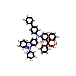 c1ccc(-c2ccc(N(c3ccc4c(c3)c3ccccc3n4-c3ccccc3)c3cccc4c3Oc3ccccc3C43c4ccccc4Oc4ccccc43)cc2)cc1